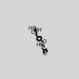 O=C(/C=C/c1ccc(C(=O)N/N=C/c2ccoc2)cc1)NO